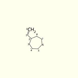 C=CC1C[CH]CCCC1